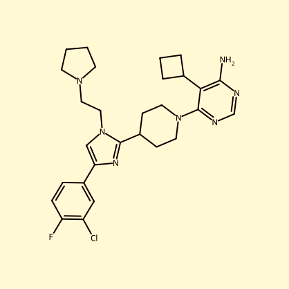 Nc1ncnc(N2CCC(c3nc(-c4ccc(F)c(Cl)c4)cn3CCN3CCCC3)CC2)c1C1CCC1